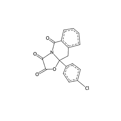 O=C1OC2(c3ccc(Cl)cc3)Cc3ccccc3C(=O)N2C1=O